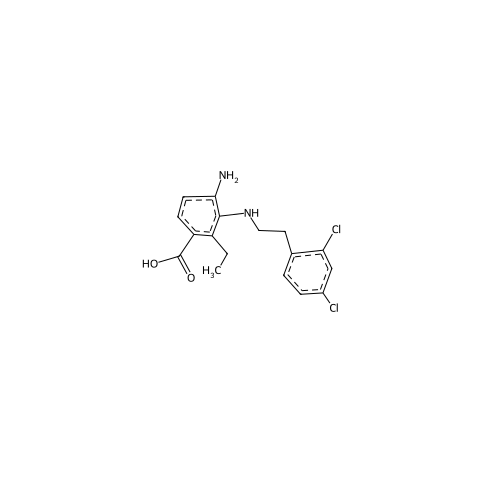 CCc1c(C(=O)O)ccc(N)c1NCCc1ccc(Cl)cc1Cl